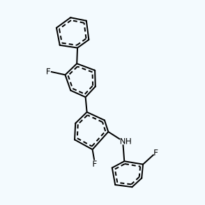 Fc1ccccc1Nc1cc(-c2ccc(-c3ccccc3)c(F)c2)ccc1F